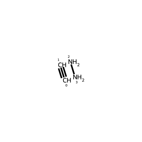 C#C.NN